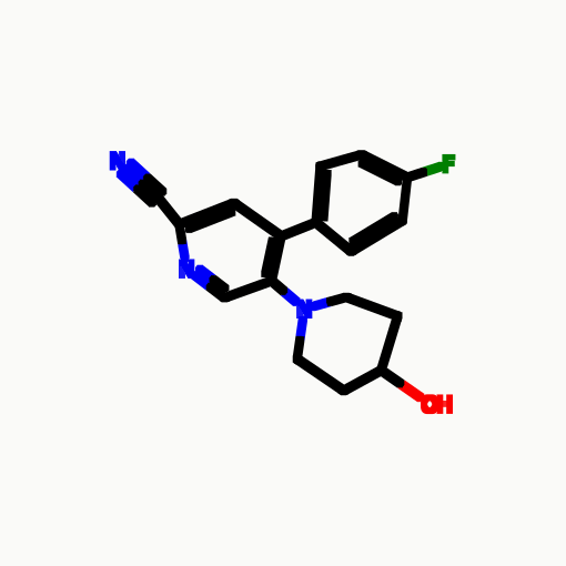 N#Cc1cc(-c2ccc(F)cc2)c(N2CCC(O)CC2)cn1